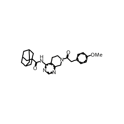 COc1ccc(CC(=O)N2CCc3c(ncnc3NC(=O)C34CC5CC(CC(C5)C3)C4)C2)cc1